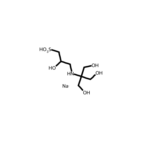 O=S(=O)(O)CC(O)CNC(CO)(CO)CO.[Na]